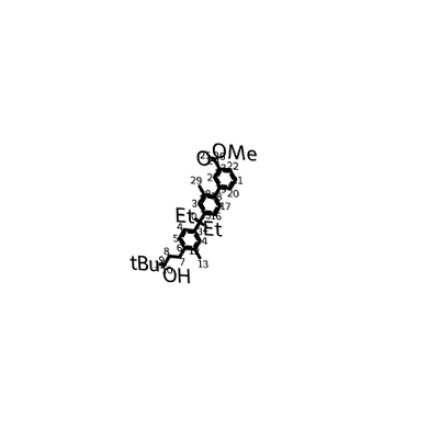 CCC(CC)(c1ccc(CCC(O)C(C)(C)C)c(C)c1)c1ccc(-c2cccc(C(=O)OC)c2)c(C)c1